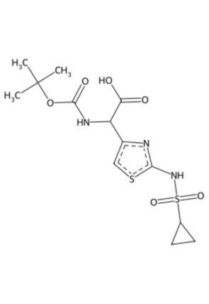 CC(C)(C)OC(=O)NC(C(=O)O)c1csc(NS(=O)(=O)C2CC2)n1